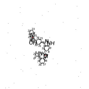 CC(C)[C@H](NC(=O)c1ccc2[nH]nc(-c3ccc(OC4CC5CCC(C4)N5CCO)cc3)c2c1)c1ccccc1Cl